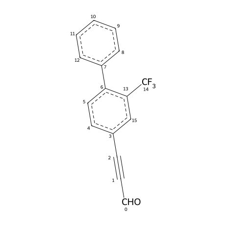 O=CC#Cc1ccc(-c2ccccc2)c(C(F)(F)F)c1